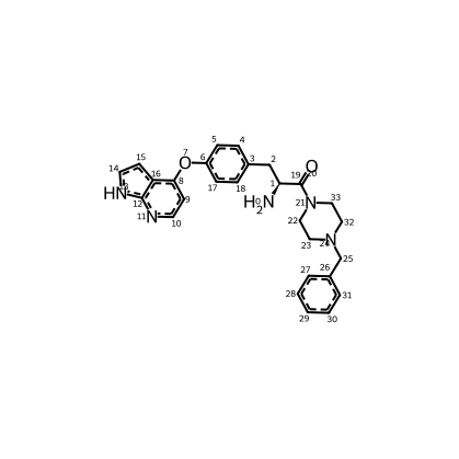 N[C@@H](Cc1ccc(Oc2ccnc3[nH]ccc23)cc1)C(=O)N1CCN(Cc2ccccc2)CC1